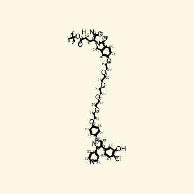 CC(C)(C)OC(=O)CCC(C(N)=O)N1Cc2cc(OCCOCCOCCOCCOCCOc3ccc(-n4cc(-c5ccc(Cl)c(O)c5)c(-c5ccncc5)n4)cc3)ccc2C1=O